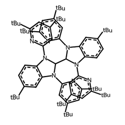 CC(C)(C)c1cc(N2c3ccc(C(C)(C)C)cc3N(c3cc(C(C)(C)C)cc(C(C)(C)C)n3)C2C2N(c3cc(C(C)(C)C)cc(C(C)(C)C)n3)c3ccc(C(C)(C)C)cc3N2c2cc(C(C)(C)C)cc(C(C)(C)C)n2)nc(C(C)(C)C)c1